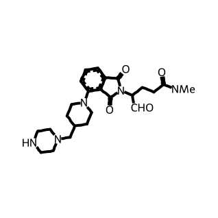 CNC(=O)CCC(C=O)N1C(=O)c2cccc(N3CCC(CN4CCNCC4)CC3)c2C1=O